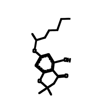 CCCCCC(C)Oc1cc(O)c2c(c1)OC(C)(C)CC2=O